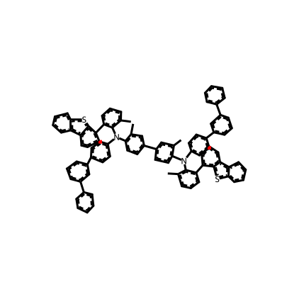 Cc1cc(-c2ccc(N(c3ccc(-c4cccc(-c5ccccc5)c4)cc3)c3c(C)cccc3-c3cccc4c3sc3ccccc34)c(C)c2)ccc1N(c1ccc(-c2cccc(-c3ccccc3)c2)cc1)c1c(C)cccc1-c1cccc2c1sc1ccccc12